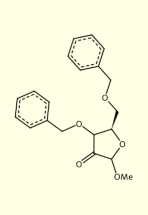 COC1O[C@H](COCc2ccccc2)C(OCc2ccccc2)C1=O